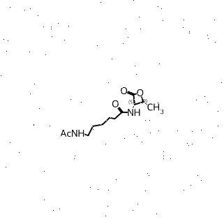 CC(=O)NCCCCCC(=O)N[C@@H]1C(=O)O[C@@H]1C